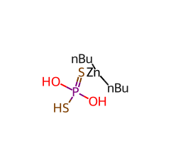 CCC[CH2][Zn][CH2]CCC.OP(O)(=S)S